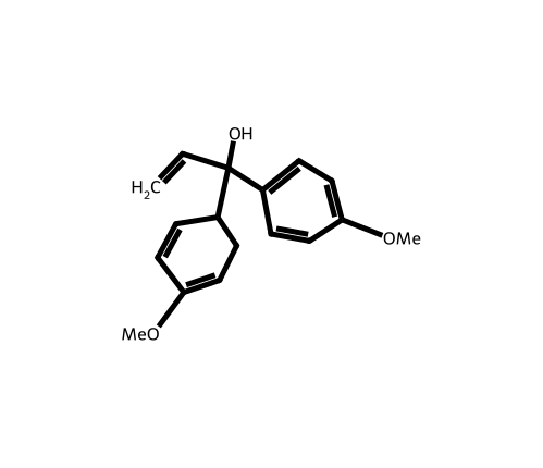 C=CC(O)(c1ccc(OC)cc1)C1C=CC(OC)=CC1